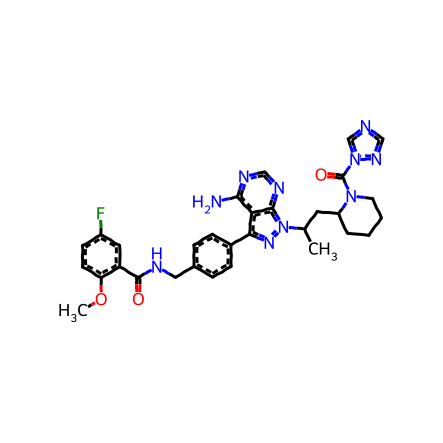 COc1ccc(F)cc1C(=O)NCc1ccc(-c2nn(C(C)CC3CCCCN3C(=O)n3cncn3)c3ncnc(N)c23)cc1